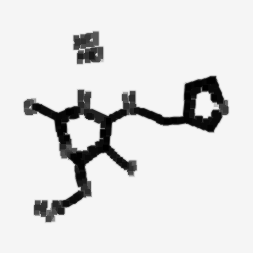 Cl.Cl.N/N=c1\nc(Cl)[nH]c(NCc2ccsc2)c1F